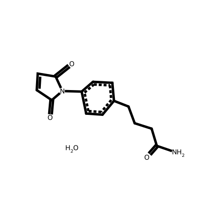 NC(=O)CCCc1ccc(N2C(=O)C=CC2=O)cc1.O